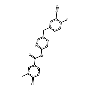 Cn1cc(C(=O)Nc2ccc(Cc3ccc(F)c(C#N)c3)cn2)ccc1=O